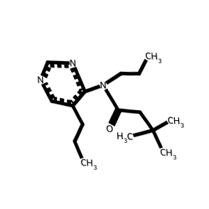 CCCc1cncnc1N(CCC)C(=O)CC(C)(C)C